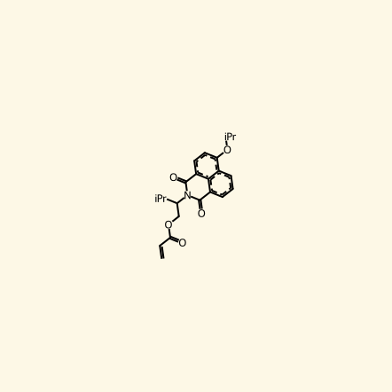 C=CC(=O)OCC(C(C)C)N1C(=O)c2cccc3c(OC(C)C)ccc(c23)C1=O